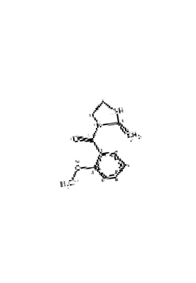 C=C1NCCN1C(=O)c1ccccc1OC